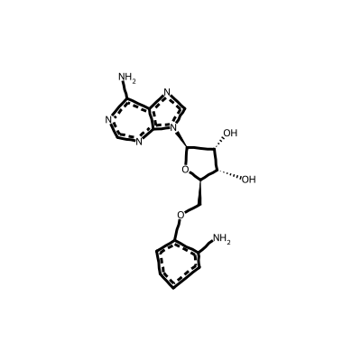 Nc1ccccc1OC[C@H]1O[C@@H](n2cnc3c(N)ncnc32)[C@H](O)[C@@H]1O